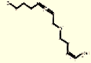 CCCCCCCC/C=C\CCOCC=C=CCCCCl